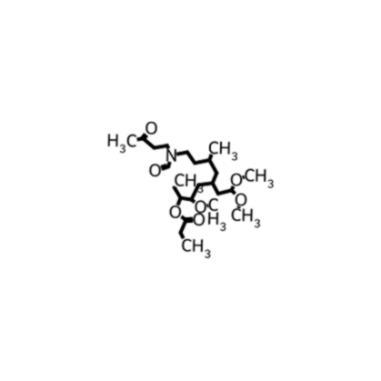 CCC(=O)OC(CC)C(CC(CC(C)CCN(C=O)CCC(C)=O)CC(OC)OC)OC